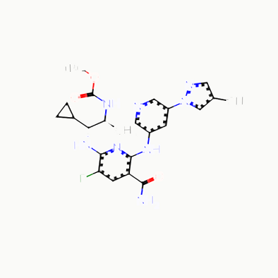 Cc1cnn(-c2cncc(Nc3nc(N[C@H](C4CC4)[C@H](C)NC(=O)OC(C)(C)C)c(F)cc3C(N)=O)c2)c1